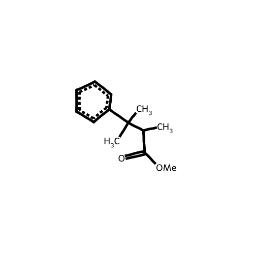 COC(=O)C(C)C(C)(C)c1ccccc1